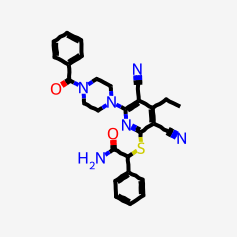 CCc1c(C#N)c(SC(C(N)=O)c2ccccc2)nc(N2CCN(C(=O)c3ccccc3)CC2)c1C#N